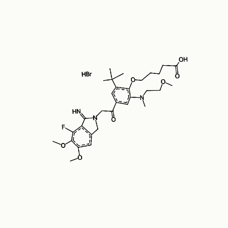 Br.COCCN(C)c1cc(C(=O)CN2Cc3cc(OC)c(OC)c(F)c3C2=N)cc(C(C)(C)C)c1OCCCCC(=O)O